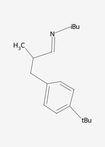 CCC(C)N=CC(C)Cc1ccc(C(C)(C)C)cc1